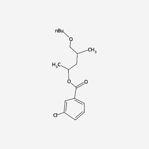 CCCCOCC(C)CC(C)OC(=O)c1cccc(Cl)c1